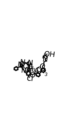 Cc1onc(-c2ccccc2)c1CNCc1cc(Cl)c(OCc2cccc(-c3cccc(OCCCN4CC[C@@H](O)C4)c3C)c2C)cc1OCc1cncc(C#N)c1